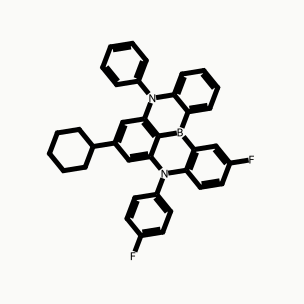 Fc1ccc(N2c3ccc(F)cc3B3c4ccccc4N(c4ccccc4)c4cc(C5CCCCC5)cc2c43)cc1